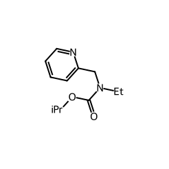 CCN(Cc1ccccn1)C(=O)OC(C)C